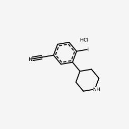 Cl.N#Cc1ccc(I)c(C2CCNCC2)c1